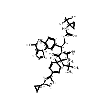 CC(C)(C)C[C@]1(C2(C)C=CC(c3nnn(C4CC4)n3)=CC2)NC(=N)N([C@H](COC(=O)NC2(C(F)(F)F)CC2)c2ccc(Cl)c(-n3ncnc3C(F)F)c2)C1=O